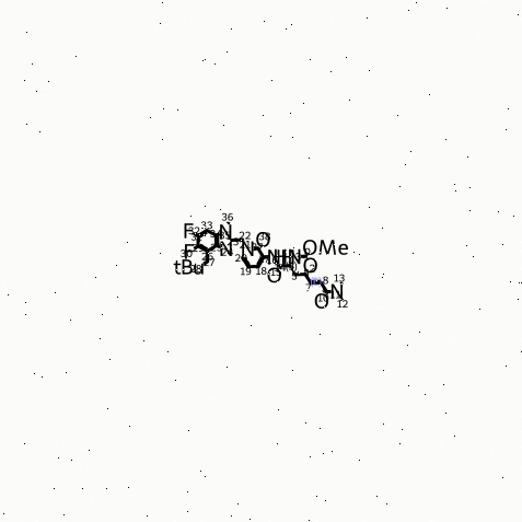 COC(=O)N[C@@H](CC/C=C/C(=O)N(C)C)C(=O)Nc1cccn(Cc2nc3c(CC(C)(C)C)c(F)c(F)cc3n2C)c1=O